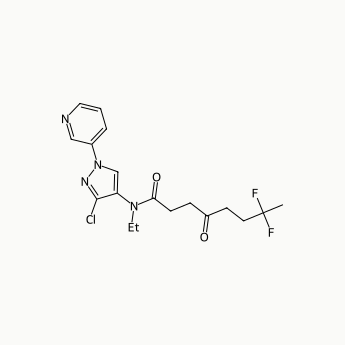 CCN(C(=O)CCC(=O)CCC(C)(F)F)c1cn(-c2cccnc2)nc1Cl